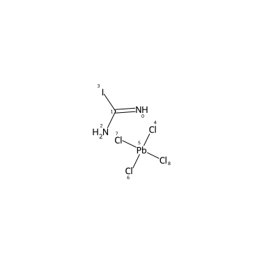 N=C(N)I.[Cl][Pb]([Cl])([Cl])[Cl]